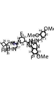 COc1ccc(CNc2nc3cc(OC)c(F)cc3c3nc(C4CC(F)CN(/C(C=N)=C/NCC5(OPI)CCC5)C4)nn23)c(OC)c1